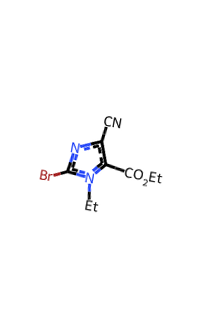 CCOC(=O)c1c(C#N)nc(Br)n1CC